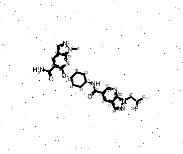 Cn1ncc2cc(C(N)=O)c(O[C@H]3CC[C@H](NC(=O)c4cnc5c(cnn5CC(F)F)c4)CC3)nc21